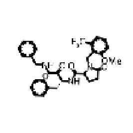 COc1cccc(C(F)(F)F)c1CN1C(=O)CCC1C(=O)N[C@H](Cc1ccccc1)C(=O)C(=O)NCc1ccccc1